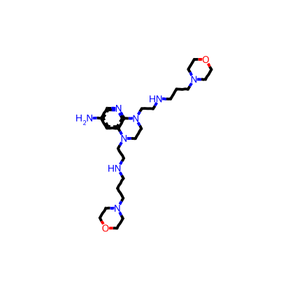 Nc1cnc2c(c1)N(CCNCCCN1CCOCC1)CCN2CCNCCCN1CCOCC1